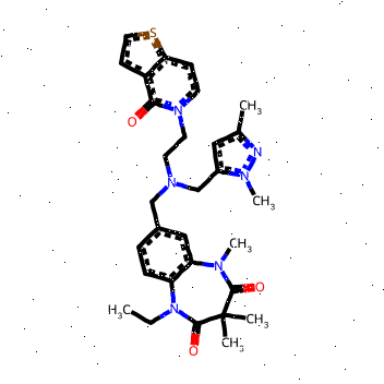 CCN1C(=O)C(C)(C)C(=O)N(C)c2cc(CN(CCn3ccc4sccc4c3=O)Cc3cc(C)nn3C)ccc21